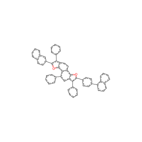 c1ccc(-c2c(-c3ccc(-c4cccc5ccccc45)cc3)oc3c2cc(-c2ccccc2)c2c3ccc3c(-c4ccccc4)c(-c4ccc5ccccc5c4)oc32)cc1